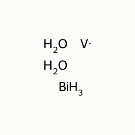 O.O.[BiH3].[V]